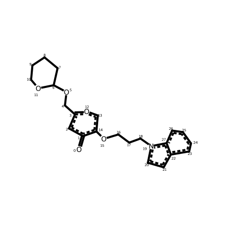 O=c1cc(COC2CCCCO2)occ1OCCCn1ccc2ccccc21